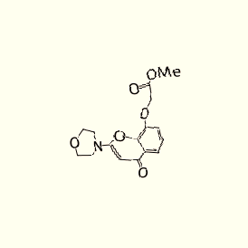 COC(=O)COc1cccc2c(=O)cc(N3CCOCC3)oc12